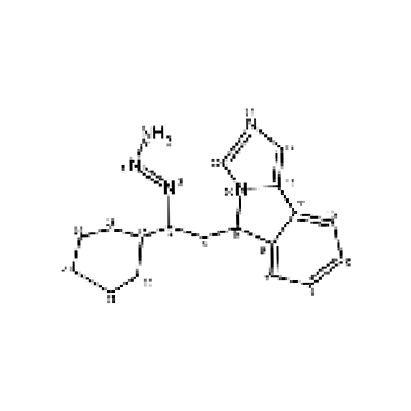 NN=NC(CC1c2ccccc2-c2cncn21)C1CCCCC1